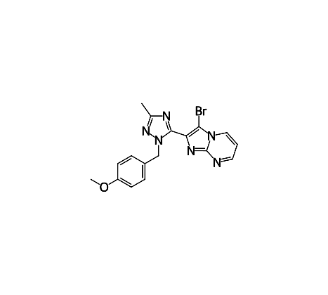 COc1ccc(Cn2nc(C)nc2-c2nc3ncccn3c2Br)cc1